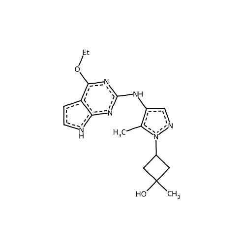 CCOc1nc(Nc2cnn(C3CC(C)(O)C3)c2C)nc2[nH]ccc12